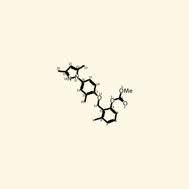 COC(=O)Oc1cccc(C)c1COc1ccc(-n2nc(C)cc2C)cc1C